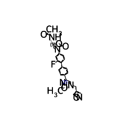 CO/N=C(\CNCc1cnoc1)c1ccc(-c2ccc(N3C[C@H](CNC(C)=O)OC3=O)cc2F)cc1